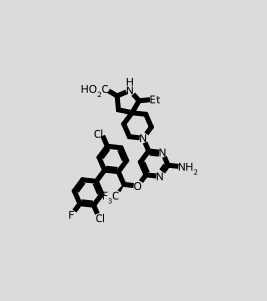 CCC1NC(C(=O)O)CC12CCN(c1cc(O[C@H](c3ccc(Cl)cc3-c3ccc(F)c(Cl)c3)C(F)(F)F)nc(N)n1)CC2